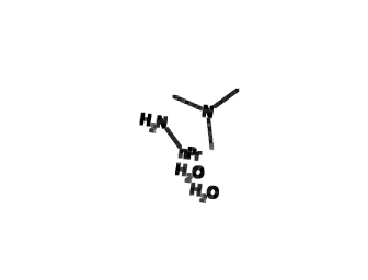 CCCN.CN(C)C.O.O